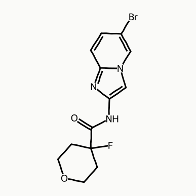 O=C(Nc1cn2cc(Br)ccc2n1)C1(F)CCOCC1